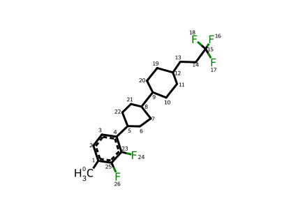 Cc1ccc(C2CCC(C3CCC(CCC(F)(F)F)CC3)CC2)c(F)c1F